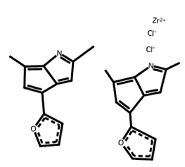 CC1=NC2=C(C)C=C(c3ccco3)C2=C1.CC1=NC2=C(C)C=C(c3ccco3)C2=C1.[Cl-].[Cl-].[Zr+2]